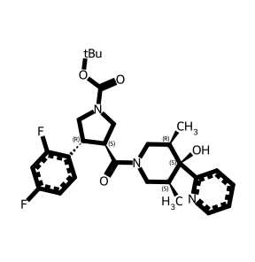 C[C@@H]1CN(C(=O)[C@@H]2CN(C(=O)OC(C)(C)C)C[C@H]2c2ccc(F)cc2F)C[C@H](C)[C@@]1(O)c1ccccn1